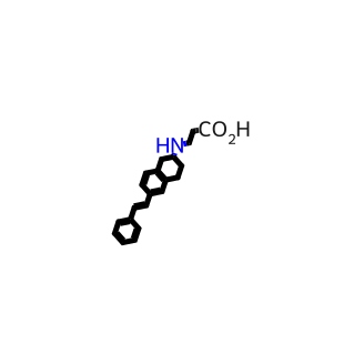 O=C(O)CCNC1CCc2cc(C=Cc3ccccc3)ccc2C1